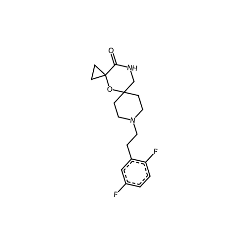 O=C1NCC2(CCN(CCc3cc(F)ccc3F)CC2)OC12CC2